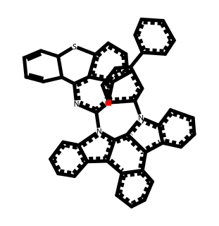 C1=CC2Sc3cccc4nc(-n5c6ccccc6c6c7ccccc7c7c8ccccc8n(-c8cccc(-c9ccccc9)c8)c7c65)nc(c34)C2C=C1